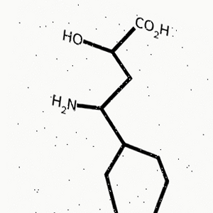 NC(CC(O)C(=O)O)C1CCCCC1